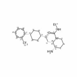 CCNC(=O)N1CCC[C@H](N)[C@@H]1CO[C@H]1CC[C@@H](c2ccccc2C(F)(F)F)CC1